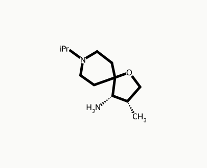 CC(C)N1CCC2(CC1)OC[C@H](C)[C@@H]2N